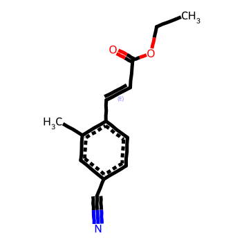 CCOC(=O)/C=C/c1ccc(C#N)cc1C